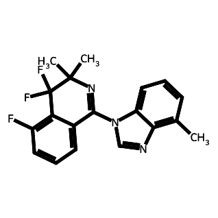 Cc1cccc2c1ncn2C1=NC(C)(C)C(F)(F)c2c(F)cccc21